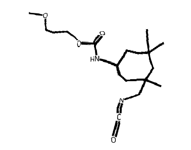 COCCOC(=O)NC1CC(C)(C)CC(C)(CN=C=O)C1